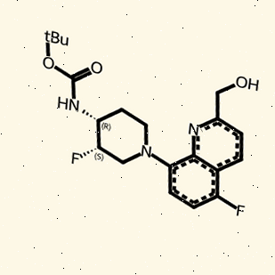 CC(C)(C)OC(=O)N[C@@H]1CCN(c2ccc(F)c3ccc(CO)nc23)C[C@@H]1F